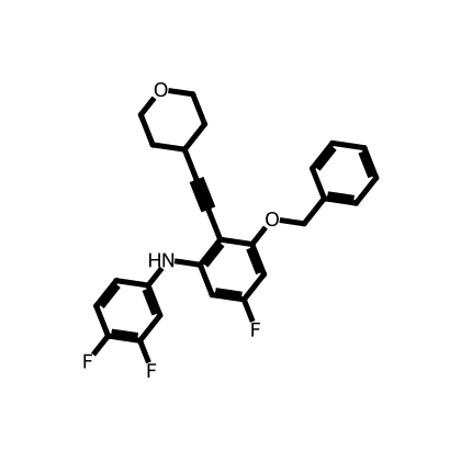 Fc1cc(Nc2ccc(F)c(F)c2)c(C#CC2CCOCC2)c(OCc2ccccc2)c1